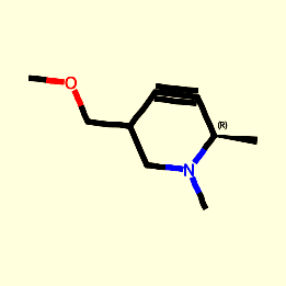 COCC1C#C[C@@H](C)N(C)C1